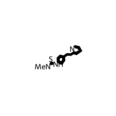 CNC(=S)Nc1ccc(CCc2ccccn2)cc1